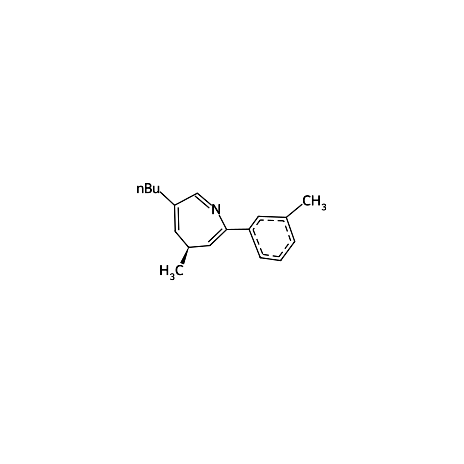 CCCCC1=C[C@H](C)C=C(c2cccc(C)c2)N=C1